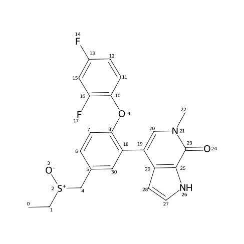 CC[S+]([O-])Cc1ccc(Oc2ccc(F)cc2F)c(-c2cn(C)c(=O)c3[nH]ccc23)c1